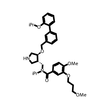 COCCCOc1cc(C(=O)N(C[C@@H]2CNC[C@H]2OCc2cccc(-c3ccccc3OC(C)C)c2)C(C)C)ccc1OC